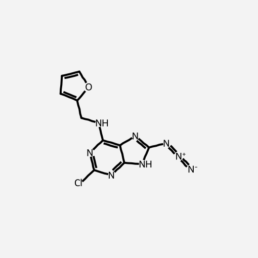 [N-]=[N+]=Nc1nc2c(NCc3ccco3)nc(Cl)nc2[nH]1